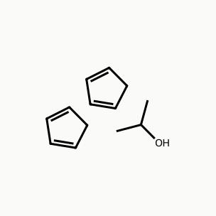 C1=CCC=C1.C1=CCC=C1.CC(C)O